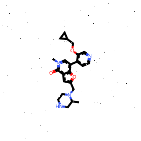 CC1CNCCN1Cc1cc2c(=O)n(C)cc(-c3ccncc3OCC3CC3)c2o1